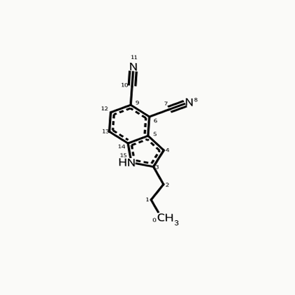 CCCc1cc2c(C#N)c(C#N)ccc2[nH]1